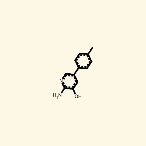 Cc1ccc(-c2cnc(N)c(O)c2)cc1